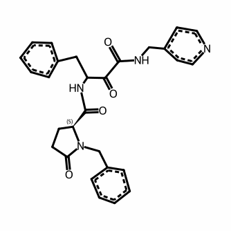 O=C(NCc1ccncc1)C(=O)C(Cc1ccccc1)NC(=O)[C@@H]1CCC(=O)N1Cc1ccccc1